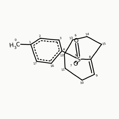 Cc1ccc(S(=O)(=O)/C2=C\CCCCCC2)cc1